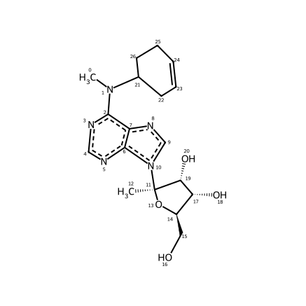 CN(c1ncnc2c1ncn2[C@]1(C)O[C@H](CO)[C@@H](O)[C@H]1O)C1CC=CCC1